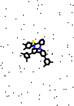 Cc1cc(C)cc(-c2ccc3c(c2)c2cc(-c4cc(C)cc(C)c4)ccc2n3-c2ccccc2-c2nc3cc(C)c(C)cc3s2)c1